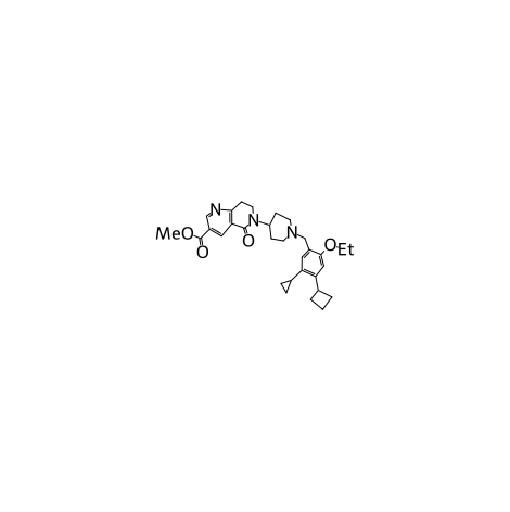 CCOc1cc(C2CCC2)c(C2CC2)cc1CN1CCC(N2CCc3ncc(C(=O)OC)cc3C2=O)CC1